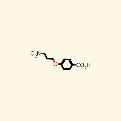 O=C(O)c1ccc(OCCC[N+](=O)[O-])cc1